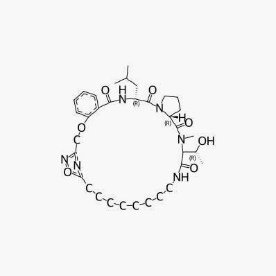 CC(C)C[C@H]1NC(=O)c2ccccc2OCc2noc(n2)CCCCCCCCNC(=O)C([C@@H](C)O)N(C)C(=O)[C@H]2CCCN2C1=O